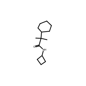 CC(C)(C(=O)NC1CCC1)C1CCCCC1